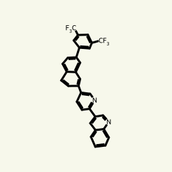 FC(F)(F)c1cc(-c2ccc3ccc(-c4ccc(-c5cnc6ccccc6c5)nc4)cc3c2)cc(C(F)(F)F)c1